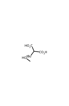 CC(C)(C)C(C(=O)O)C(=O)O.CO